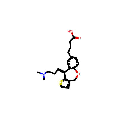 CN(C)CC/C=C1/c2cc(CCCC(=O)O)ccc2OCc2ccsc21